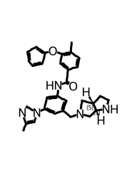 Cc1cn(-c2cc(CN3C[C@@H]4CCN[C@@H]4C3)cc(NC(=O)c3ccc(C)c(Oc4ccccc4)c3)c2)cn1